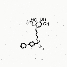 C[C@H](OCCCCCN1C[C@H](O)[C@@H](O)[C@H](O)[C@@H]1CO)c1ccc(-c2ccccc2)cc1